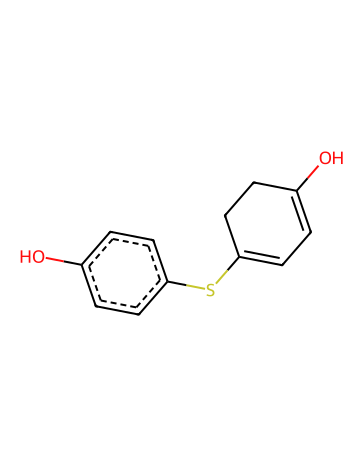 OC1=CC=C(Sc2ccc(O)cc2)CC1